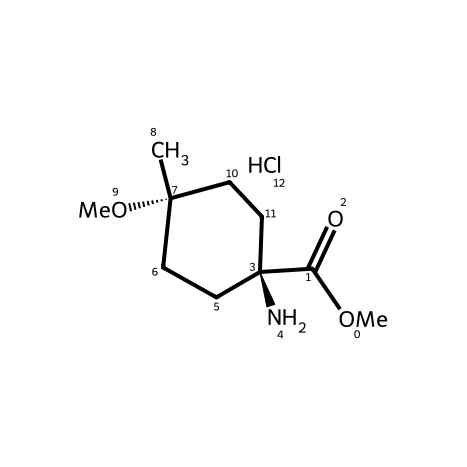 COC(=O)[C@]1(N)CC[C@](C)(OC)CC1.Cl